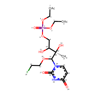 CC(=O)OCOP(=O)(OCOC(C)=O)OCC(O)[C@@](C)(O)C(OCCF)n1ccc(=O)[nH]c1=O